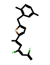 C=C(F)/C=C(F)\C=C(/C)c1ccc(Cc2cc(C)ccc2C)s1